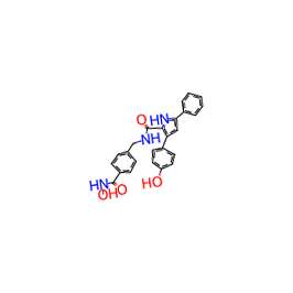 O=C(NO)c1ccc(CNC(=O)c2[nH]c(-c3ccccc3)cc2-c2ccc(O)cc2)cc1